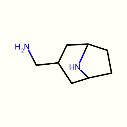 NCC1CC2CCC(C1)N2